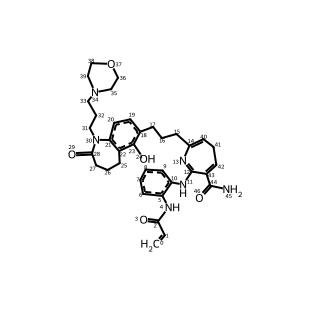 C=CC(=O)Nc1ccccc1NC1=NC(CCCc2ccc3c(c2O)CCCC(=O)N3CCCN2CCOCC2)=CCC=C1C(N)=O